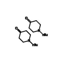 CCCCN1CCC(=O)CC1.CCCCN1CCC(=O)CC1